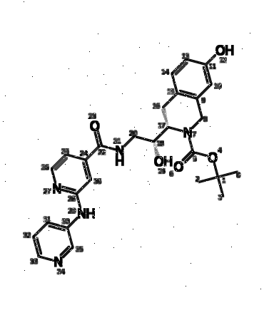 CC(C)(C)OC(=O)N1Cc2cc(O)ccc2C[C@H]1[C@H](O)CNC(=O)c1ccnc(Nc2cccnc2)c1